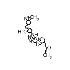 CC#CC(=O)CCC1CCCN2CC1COc1cc3ncnc(Nc4ccc(Oc5ccc6c(c5)ncn6C)c(C)c4)c3nc12